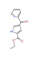 CCOC(=O)c1cc(C(=O)c2ccccn2)c[nH]1